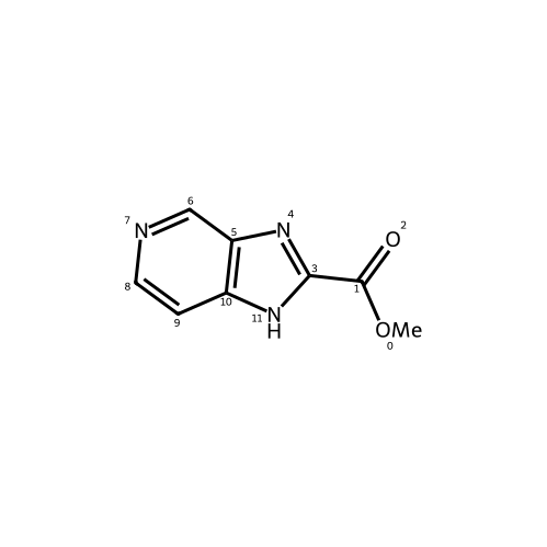 COC(=O)c1nc2cnccc2[nH]1